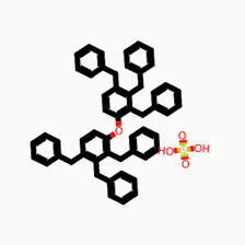 O=S(=O)(O)O.c1ccc(Cc2ccc(Oc3ccc(Cc4ccccc4)c(Cc4ccccc4)c3Cc3ccccc3)c(Cc3ccccc3)c2Cc2ccccc2)cc1